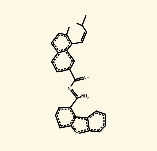 Cc1ccc2ccc(C(=N)/N=C(\N)c3cccc4oc5ccccc5c34)cc2c1/C=C\C(C)C